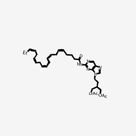 CC/C=C\C/C=C\C/C=C\C/C=C\C/C=C\CCCC(=O)Nc1ncc2ncn(CCC(COC(C)=O)COC(C)=O)c2n1